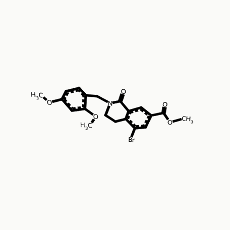 COC(=O)c1cc(Br)c2c(c1)C(=O)N(Cc1ccc(OC)cc1OC)CC2